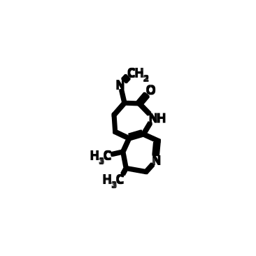 C=NC1CCC2=C(C=NCC(C)C2C)NC1=O